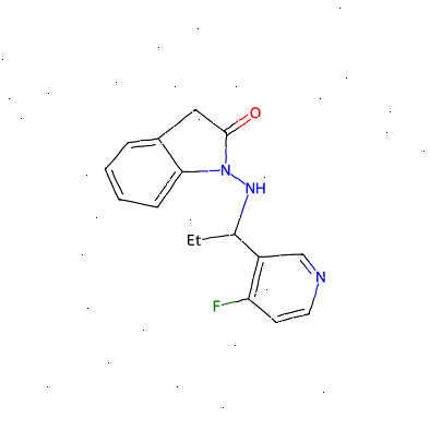 CCC(NN1C(=O)Cc2ccccc21)c1cnccc1F